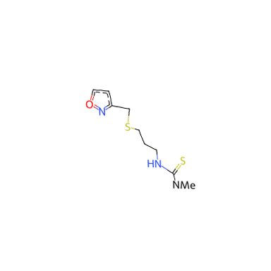 CNC(=S)NCCCSCc1ccon1